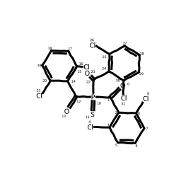 O=C(c1c(Cl)cccc1Cl)P(=S)(C(=O)c1c(Cl)cccc1Cl)C(=O)c1c(Cl)cccc1Cl